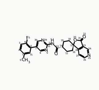 Cc1ccc(F)c(-c2cnc(NC(=O)[C@H]3CC[C@@]4(CC3)OC(=O)c3cnccc34)nc2)c1